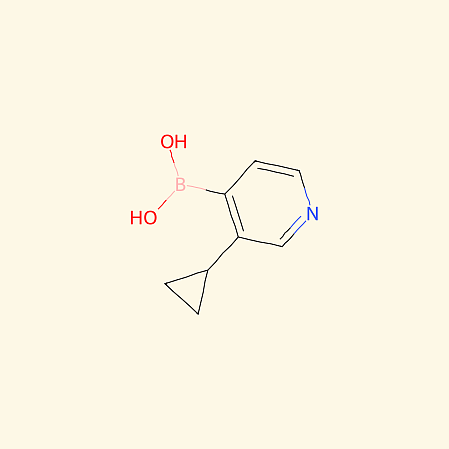 OB(O)c1ccncc1C1CC1